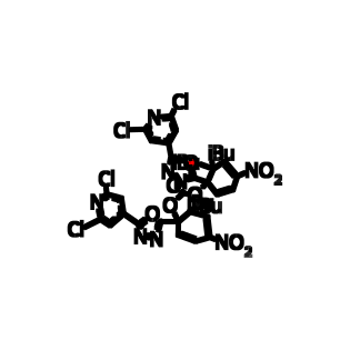 CCC(C)C1(C(C)CC)C=C([N+](=O)[O-])C=CC1(OC(=O)OC1(c2nnc(-c3cc(Cl)nc(Cl)c3)o2)C=CC([N+](=O)[O-])=CC1(C(C)CC)C(C)CC)c1nnc(-c2cc(Cl)nc(Cl)c2)o1